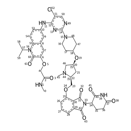 CNC(=O)COc1cc2cc(Nc3nc(N4CCC(O[C@H]5C[C@@H](COc6cccc7c6C(=O)N(C6CCC(=O)NC6=O)C7=O)N(C)C5)CC4)ncc3Cl)ccc2n(C(C)C)c1=O